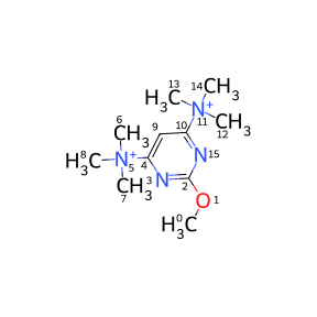 COc1nc([N+](C)(C)C)cc([N+](C)(C)C)n1